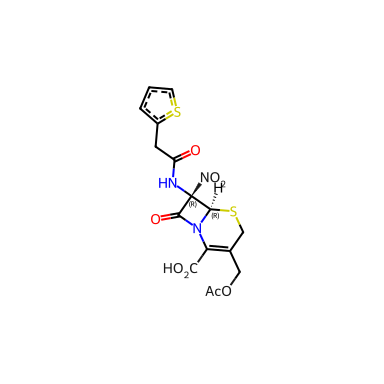 CC(=O)OCC1=C(C(=O)O)N2C(=O)[C@@](NC(=O)Cc3cccs3)([N+](=O)[O-])[C@H]2SC1